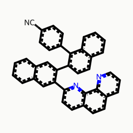 N#Cc1ccc(-c2c(-c3cc4ccccc4cc3-c3ccc4ccc5cccnc5c4n3)ccc3ccccc23)cc1